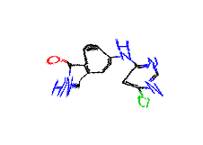 O=C1NCc2cc(Nc3cc(Cl)ncn3)ccc21